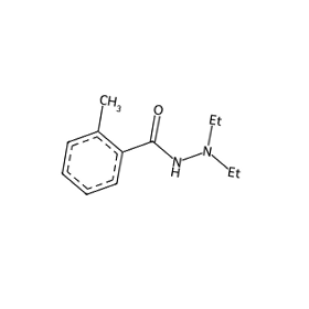 CCN(CC)NC(=O)c1ccccc1C